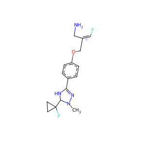 CN1N=C(c2ccc(OC/C(=C/F)CN)cc2)NC1C1(F)CC1